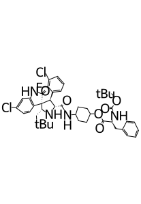 CC(C)(C)C[C@H]1N[C@@H](C(=O)NC2CCC(OC(=O)[C@H](Cc3ccccc3)NC(=O)OC(C)(C)C)CC2)[C@H](c2cccc(Cl)c2F)[C@@]12C(=O)Nc1cc(Cl)ccc12